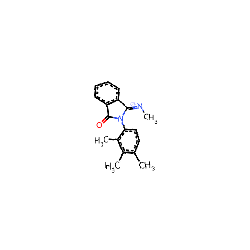 C/N=C1/c2ccccc2C(=O)N1c1ccc(C)c(C)c1C